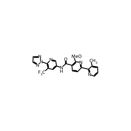 COc1nc(-c2ncccc2C)ccc1C(=O)Nc1cnc(-n2nccn2)c(C(F)(F)F)c1